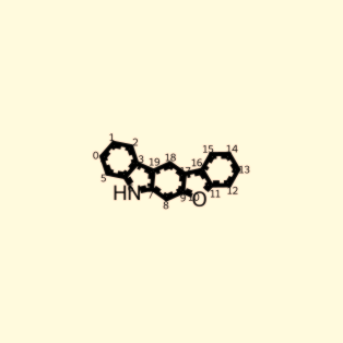 [c]1ccc2c(c1)[nH]c1cc3oc4ccccc4c3cc12